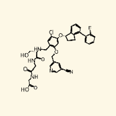 N#Cc1cncc(COc2cc(O[C@H]3CCc4c(-c5ccccc5F)cccc43)c(Cl)cc2CN[C@@H](CO)C(=O)NCC(=O)NCC(=O)O)c1